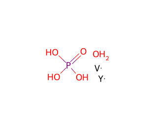 O.O=P(O)(O)O.[V].[Y]